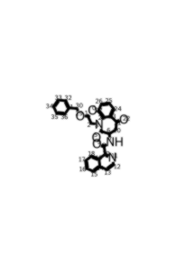 O=C(CN1C(=O)C(NC(=O)c2nccc3ccccc23)CC(=O)c2ccccc21)OCc1ccccc1